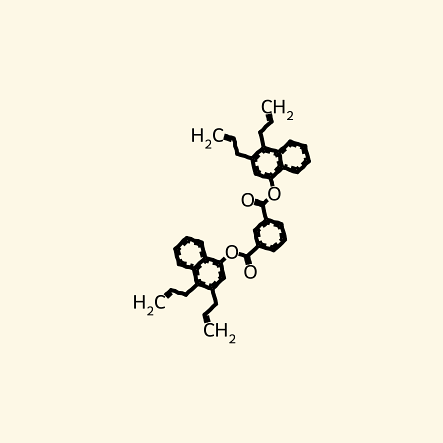 C=CCc1cc(OC(=O)c2cccc(C(=O)Oc3cc(CC=C)c(CC=C)c4ccccc34)c2)c2ccccc2c1CC=C